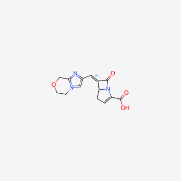 O=C(O)C1=CCC2/C(=C\c3cn4c(n3)COCC4)C(=O)N12